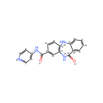 O=C(Nc1ccncc1)c1ccc2c(c1)NC(=O)c1ccccc1N2